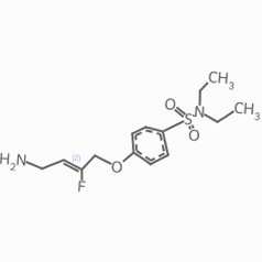 CCN(CC)S(=O)(=O)c1ccc(OC/C(F)=C/CN)cc1